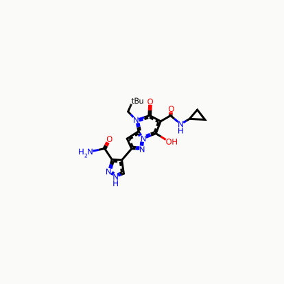 CC(C)(C)Cn1c(=O)c(C(=O)NC2CC2)c(O)n2nc(-c3c[nH]nc3C(N)=O)cc12